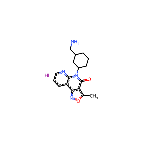 Cc1onc2c1c(=O)n(C1CCCC(CN)C1)c1ncccc21.I